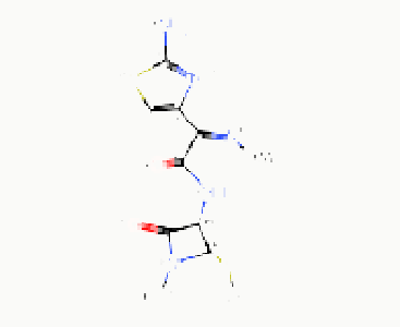 CON=C(C(=O)N[C@@H]1C(=O)N(S(=O)(=O)O)[C@@H]1SC(C)C)c1csc(N)n1